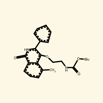 Cc1cccc2c(=O)[nH]c(-c3ccccc3)c(OCCNC(=O)OC(C)(C)C)c12